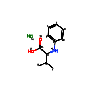 CC(C)[C@H](Nc1ccccc1)C(=O)O.Cl